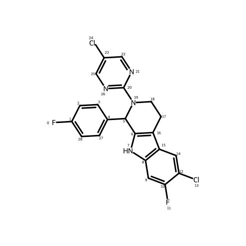 Fc1ccc(C2c3[nH]c4cc(F)c(Cl)cc4c3CCN2c2ncc(Cl)cn2)cc1